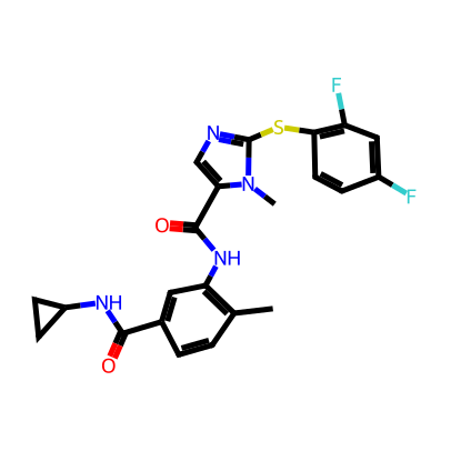 Cc1ccc(C(=O)NC2CC2)cc1NC(=O)c1cnc(Sc2ccc(F)cc2F)n1C